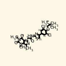 Cc1nn(CC(=O)Nc2nc(-c3cc(Cl)c(OCC(C)(C)C)c(Cl)c3)cs2)c2c(=O)n(C)c(=O)n(C)c12